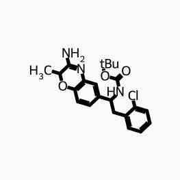 CC1Oc2ccc(C(Cc3ccccc3Cl)NC(=O)OC(C)(C)C)cc2N=C1N